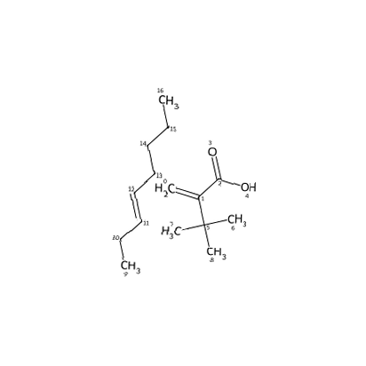 C=C(C(=O)O)C(C)(C)C.CCC=CCCCC